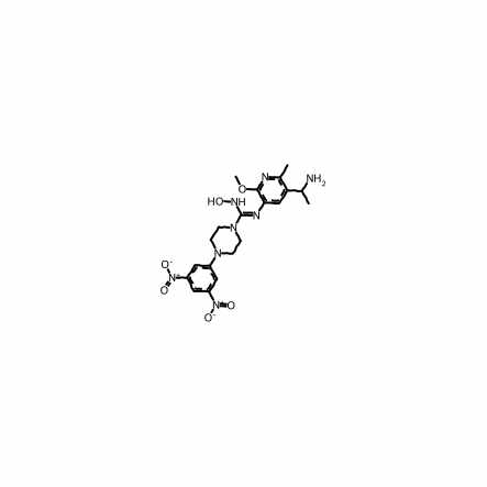 COc1nc(C)c(C(C)N)cc1N=C(NO)N1CCN(c2cc([N+](=O)[O-])cc([N+](=O)[O-])c2)CC1